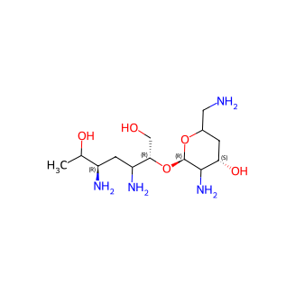 CC(O)[C@H](N)CC(N)[C@H](CO)O[C@H]1OC(CN)C[C@H](O)C1N